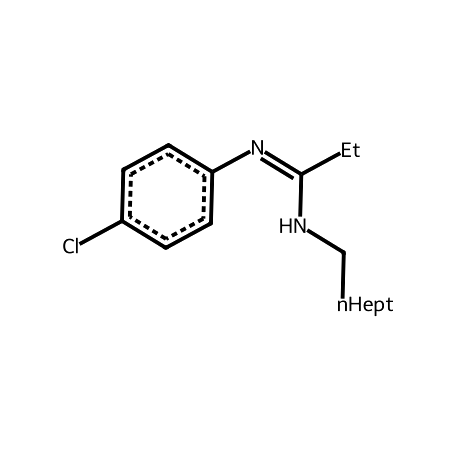 CCCCCCCCNC(CC)=Nc1ccc(Cl)cc1